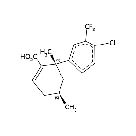 C[C@H]1CC=C(C(=O)O)[C@](C)(c2ccc(Cl)c(C(F)(F)F)c2)C1